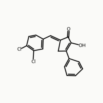 O=C1C(=Cc2ccc(Cl)c(Cl)c2)CC(c2ccccc2)=C1O